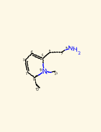 CC1C=CC=C(CCN)N1C